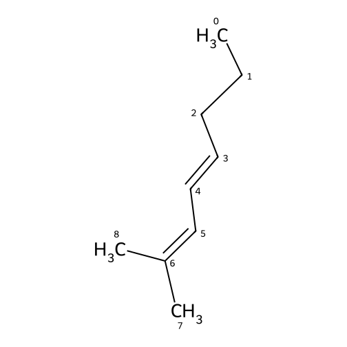 CCC/C=C/C=C(C)C